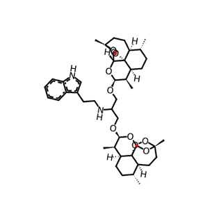 C[C@H]1[C@@H](OCC(CO[C@H]2O[C@@H]3O[C@@]4(C)CC[C@H]5[C@H](C)CC[C@@H]([C@H]2C)[C@@]35OO4)NCCc2c[nH]c3ccccc23)OC2O[C@@]3(C)CC[C@H]4[C@H](C)CC[C@@H]1[C@@]24OO3